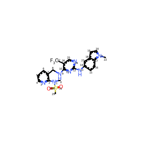 CN(c1ncccc1CNc1nc(Nc2ccc3c(ccn3C)c2)ncc1C(F)(F)F)S(C)(=O)=O